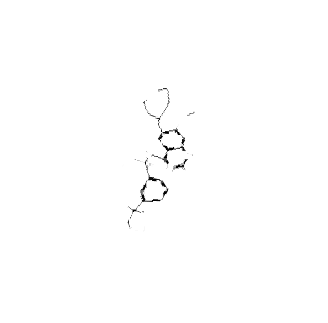 COc1cc2nc(C)nc(N[C@H](C)c3cccc(C(F)(F)CO)c3)c2cc1C1CCOCC1